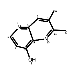 Cc1cc2nccc(O)c2nc1C